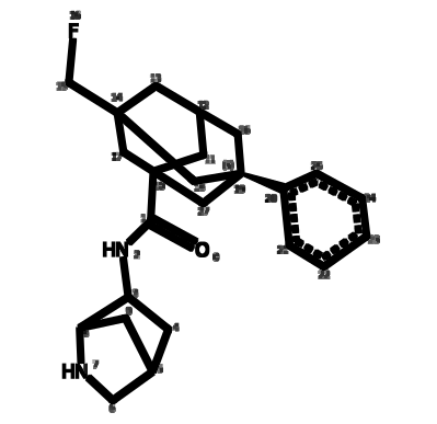 O=C(NC1CC2CNC1C2)C12CC3CC(CF)(C1)C[C@](c1ccccc1)(C3)C2